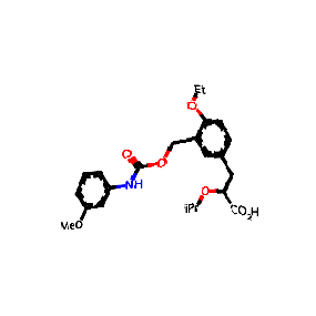 CCOc1ccc(CC(OC(C)C)C(=O)O)cc1COC(=O)Nc1cccc(OC)c1